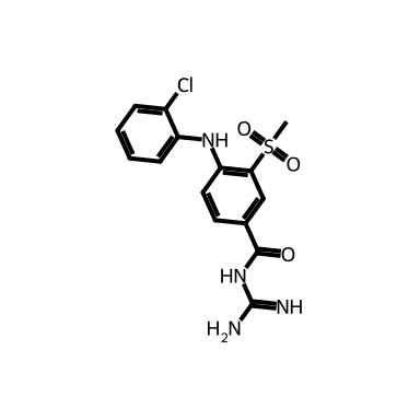 CS(=O)(=O)c1cc(C(=O)NC(=N)N)ccc1Nc1ccccc1Cl